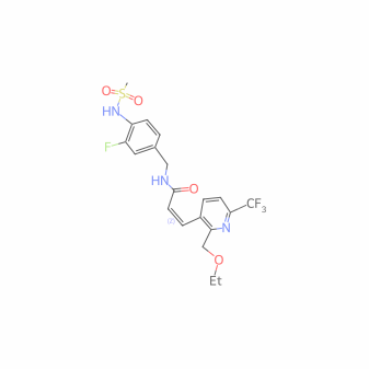 CCOCc1nc(C(F)(F)F)ccc1/C=C\C(=O)NCc1ccc(NS(C)(=O)=O)c(F)c1